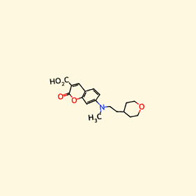 CN(CCC1CCOCC1)c1ccc2cc(C(=O)O)c(=O)oc2c1